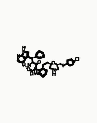 COC(=O)N(C(=O)[C@@H](N)[C@@H](c1ccccc1)c1c[nH]c2ncccc12)c1ccccc1CC[C@@H]1CNC[C@@H](CSc2ccc(Cl)cc2)O1